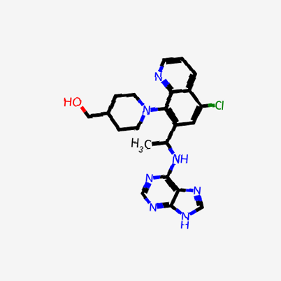 CC(Nc1ncnc2[nH]cnc12)c1cc(Cl)c2cccnc2c1N1CCC(CO)CC1